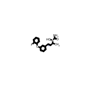 CC(/C=C/c1cccc(Oc2ccccc2F)c1)N(O)C(N)=O